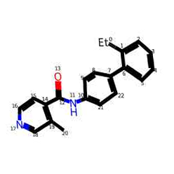 CCc1ccccc1-c1ccc(NC(=O)c2ccncc2C)cc1